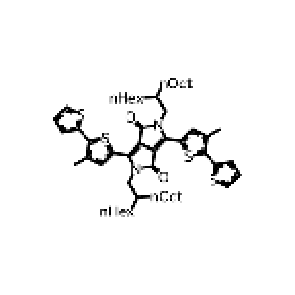 CCCCCCCCC(CCCCCC)CN1C(=O)C2=C(c3cc(C)c(-c4cccs4)s3)N(CC(CCCCCC)CCCCCCCC)C(=O)C2=C1c1cc(C)c(-c2cccs2)s1